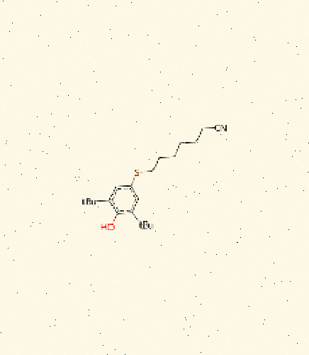 CC(C)(C)c1cc(SCCCCCCC#N)cc(C(C)(C)C)c1O